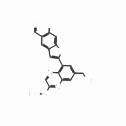 COc1cnc2c(-c3cc4cc(C=O)c(F)cc4o3)cc(CO)cc2n1